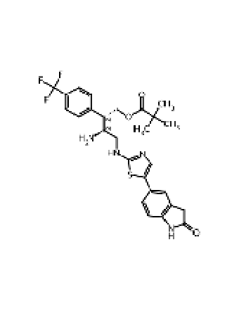 CC(C)(C)C(=O)OC[C@@H](c1ccc(C(F)(F)F)cc1)[C@H](N)CNc1ncc(-c2ccc3c(c2)CC(=O)N3)s1